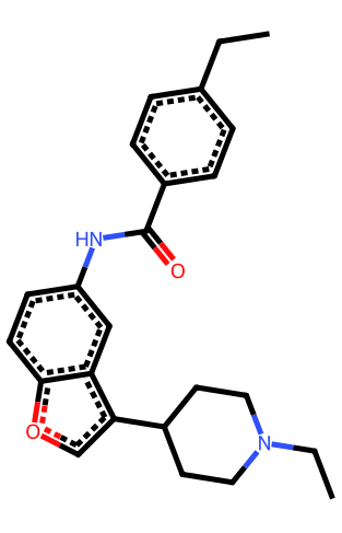 CCc1ccc(C(=O)Nc2ccc3occ(C4CCN(CC)CC4)c3c2)cc1